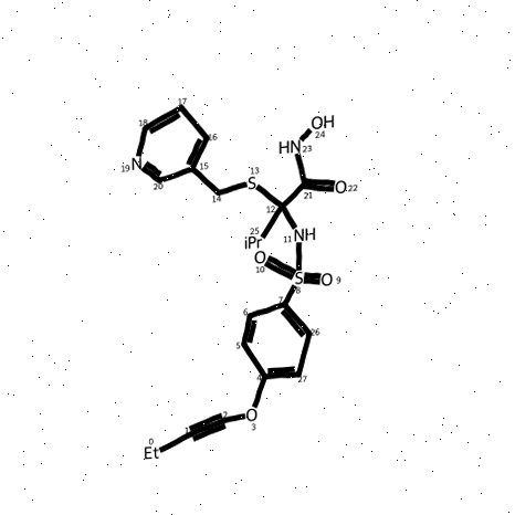 CCC#COc1ccc(S(=O)(=O)NC(SCc2cccnc2)(C(=O)NO)C(C)C)cc1